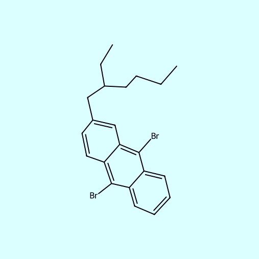 CCCCC(CC)Cc1ccc2c(Br)c3ccccc3c(Br)c2c1